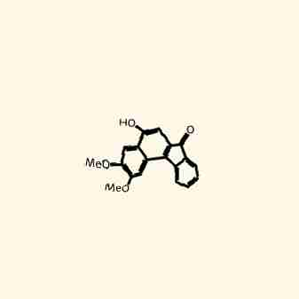 COc1cc2c(O)cc3c(c2cc1OC)-c1ccccc1C3=O